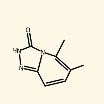 Cc1ccc2n[nH]c(=O)n2c1C